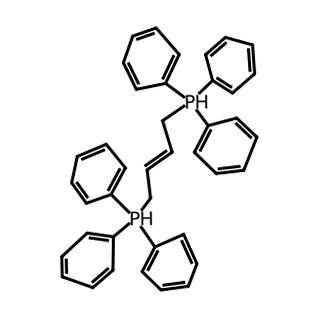 C(=CC[PH](c1ccccc1)(c1ccccc1)c1ccccc1)C[PH](c1ccccc1)(c1ccccc1)c1ccccc1